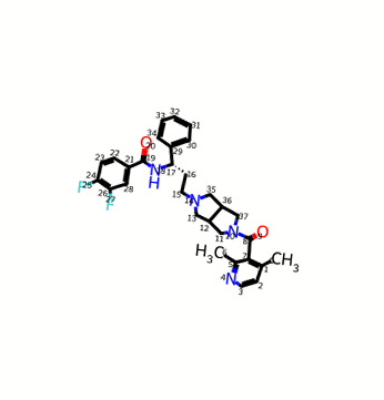 Cc1ccnc(C)c1C(=O)N1CC2CN(CC[C@H](NC(=O)c3ccc(F)c(F)c3)c3ccccc3)CC2C1